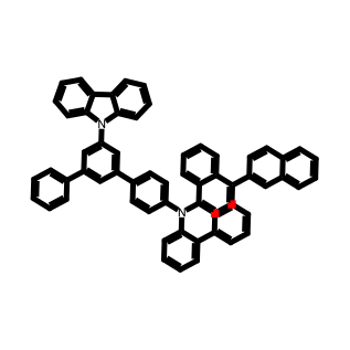 c1ccc(-c2cc(-c3ccc(N(c4ccccc4-c4ccccc4)c4ccc(-c5ccc6ccccc6c5)c5ccccc45)cc3)cc(-n3c4ccccc4c4ccccc43)c2)cc1